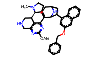 COc1nc2c(c(C3=CCC4CC(c5cc(OCc6ccccc6)cc6ccccc56)C3N4)n1)C([C@@H]1CCCN1C)CNC2